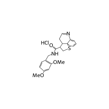 COc1ccc(CNC(=O)C2CSC34CC=CC=C3N=CCC24)c(OC)c1.Cl